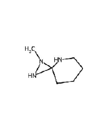 CN1NC12CCCCN2